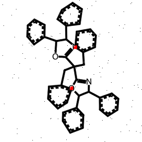 c1ccc(CC(Cc2ccccc2)(C2=NC(c3ccccc3)C(c3ccccc3)O2)C2=NC(c3ccccc3)C(c3ccccc3)O2)cc1